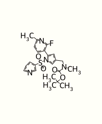 Cc1ccc(-c2cc(CN(C)C(=O)OC(C)(C)C)cn2S(=O)(=O)c2cccnc2)c(F)n1